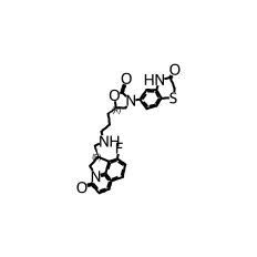 O=C1CSc2ccc(N3C[C@@H](CCCNC[C@@H]4Cn5c(=O)ccc6ccc(F)c4c65)OC3=O)cc2N1